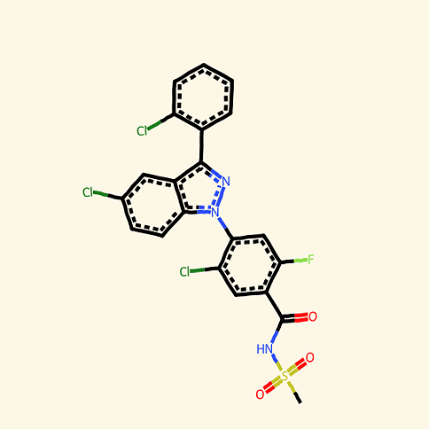 CS(=O)(=O)NC(=O)c1cc(Cl)c(-n2nc(-c3ccccc3Cl)c3cc(Cl)ccc32)cc1F